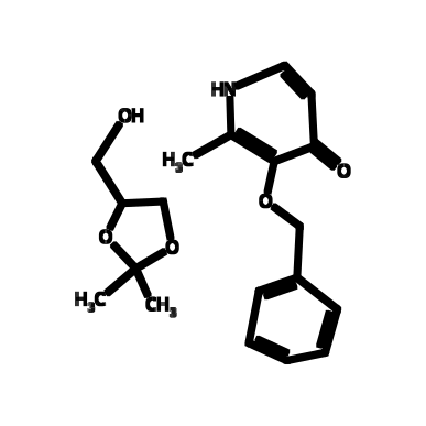 CC1(C)OCC(CO)O1.Cc1[nH]ccc(=O)c1OCc1ccccc1